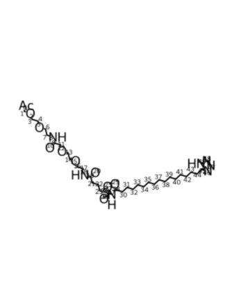 CC(=O)COCCOCCNC(=O)COCCOCCNC(=O)CCCS(=O)(=O)NC(=O)CCCCCCCCCCCCCCCc1nnn[nH]1